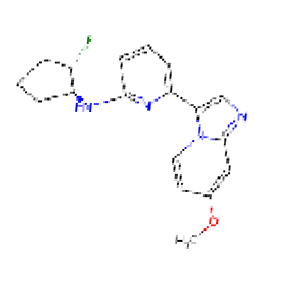 COc1ccn2c(-c3cccc(N[C@H]4CCC[C@@H]4F)n3)cnc2c1